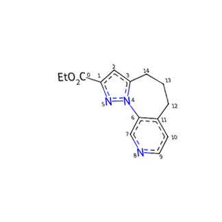 CCOC(=O)c1cc2n(n1)-c1cnccc1CCC2